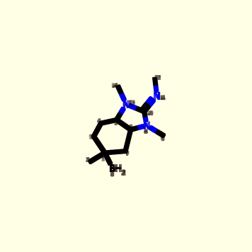 BC1(C)CCC2C(C1)N(C)/C(=N/C)N2C